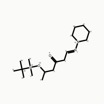 CC(CC(=O)CC=NN1CCCCC1)O[Si](C)(C)C(C)(C)C